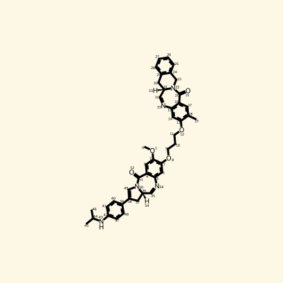 COc1cc2c(cc1OCCCOc1cc3c(cc1C)C(=O)N1Cc4ccccc4C[C@H]1C=N3)N=C[C@@H]1CC(c3ccc(NC(C)C)cc3)=CN1C2=O